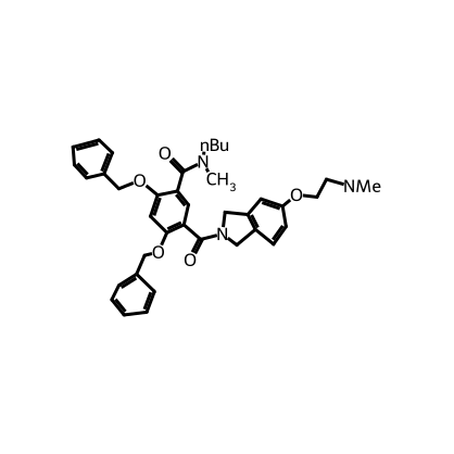 CCCCN(C)C(=O)c1cc(C(=O)N2Cc3ccc(OCCNC)cc3C2)c(OCc2ccccc2)cc1OCc1ccccc1